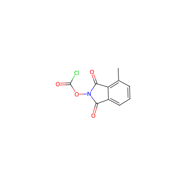 Cc1cccc2c1C(=O)N(OC(=O)Cl)C2=O